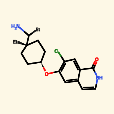 CCC(N)[C@]1(CC)CC[C@H](Oc2cc3cc[nH]c(=O)c3cc2Cl)CC1